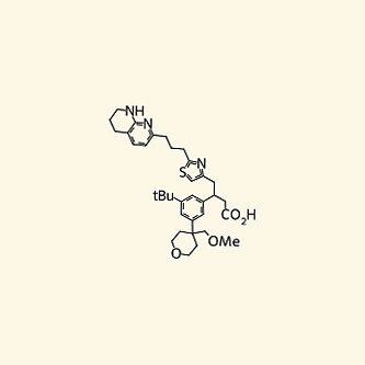 COCC1(c2cc(C(CC(=O)O)Cc3csc(CCCc4ccc5c(n4)NCCC5)n3)cc(C(C)(C)C)c2)CCOCC1